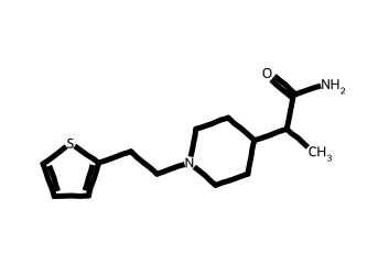 CC(C(N)=O)C1CCN(CCc2cccs2)CC1